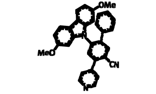 COc1ccc2c3ccc(OC)cc3n(-c3cc(-c4ccncc4)c(C#N)cc3-c3ccccc3)c2c1